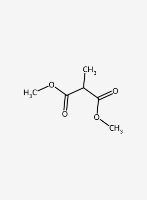 COC(=O)C(C)C(=O)OC